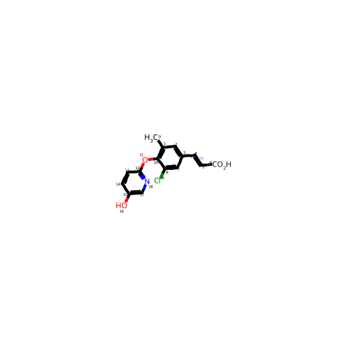 Cc1cc(/C=C/C(=O)O)cc(Cl)c1Oc1ccc(O)cn1